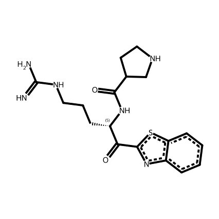 N=C(N)NCCC[C@H](NC(=O)C1CCNC1)C(=O)c1nc2ccccc2s1